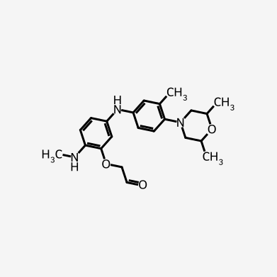 CNc1ccc(Nc2ccc(N3CC(C)OC(C)C3)c(C)c2)cc1OCC=O